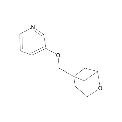 c1cncc(OCC23CCOC(C2)C3)c1